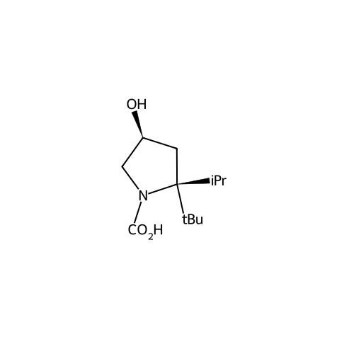 CC(C)[C@]1(C(C)(C)C)C[C@H](O)CN1C(=O)O